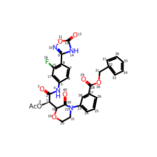 CC(=O)O[C@@H](C(=O)Nc1ccc(-c2noc(=O)[nH]2)c(F)c1)C1OCCN(c2cccc(C(=O)OCc3ccccc3)c2)C1=O